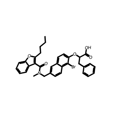 CCCCc1oc2ccccc2c1C(=O)N(C)Cc1ccc2c(Br)c(OC(Cc3ccccc3)C(=O)O)ccc2c1